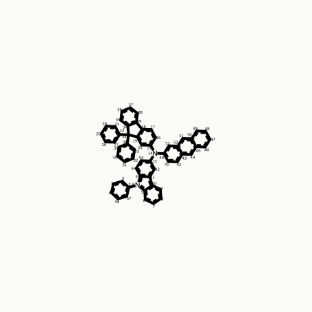 c1ccc(-n2c3ccccc3c3cc(N(c4ccc5c(c4)C(c4ccccc4)(c4ccccc4)c4ccccc4-5)c4ccc5cc6ccccc6cc5c4)ccc32)cc1